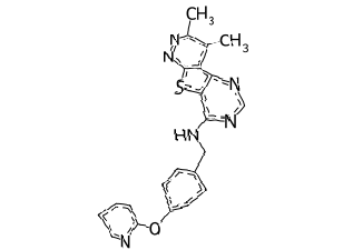 Cc1nnc2sc3c(NCc4ccc(Oc5ccccn5)cc4)ncnc3c2c1C